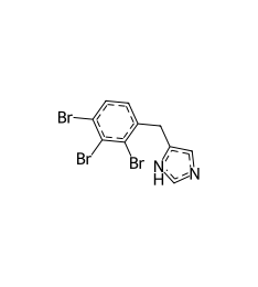 Brc1ccc(Cc2cnc[nH]2)c(Br)c1Br